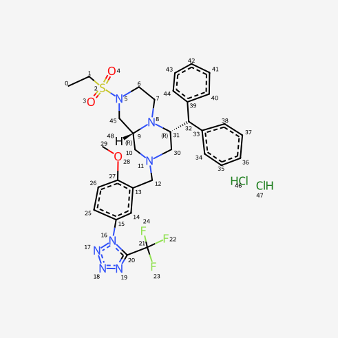 CCS(=O)(=O)N1CCN2[C@H](CN(Cc3cc(-n4nnnc4C(F)(F)F)ccc3OC)C[C@H]2C(c2ccccc2)c2ccccc2)C1.Cl.Cl